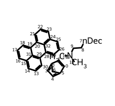 C1=CC2=CC=C1C2.CCCCCCCCCCCCN(C)C.c1cc2cccc3c4cccc5cccc(c(c1)c23)c54